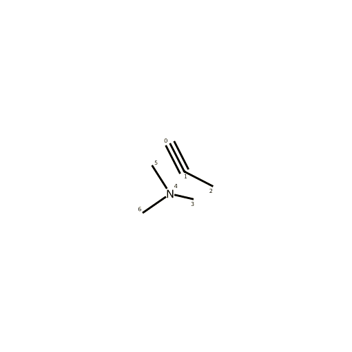 C#CC.CN(C)C